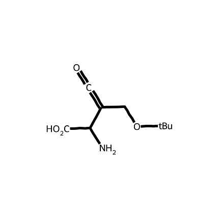 CC(C)(C)OCC(=C=O)C(N)C(=O)O